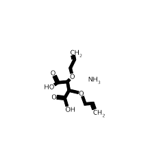 C=CCOC(C(=O)O)C(OCC=C)C(=O)O.N